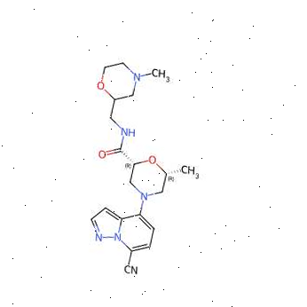 C[C@@H]1CN(c2ccc(C#N)n3nccc23)C[C@H](C(=O)NCC2CN(C)CCO2)O1